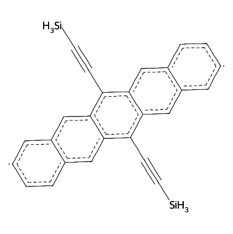 [SiH3]C#Cc1c2cc3c[c]ccc3cc2c(C#C[SiH3])c2cc3c[c]ccc3cc12